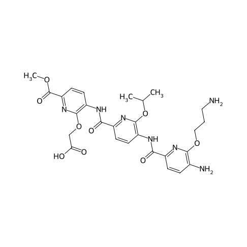 COC(=O)c1ccc(NC(=O)c2ccc(NC(=O)c3ccc(N)c(OCCCN)n3)c(OC(C)C)n2)c(OCC(=O)O)n1